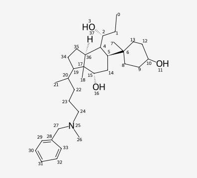 CC[C@@H](O)C1[C@@H](C2(C)CCC(O)CC2)C[C@H](O)C2(C)C(C(C)CCCN(C)Cc3ccccc3)CC[C@@H]12